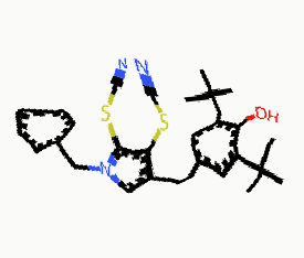 CC(C)(C)c1cc(Cc2cn(Cc3ccccc3)c(SC#N)c2SC#N)cc(C(C)(C)C)c1O